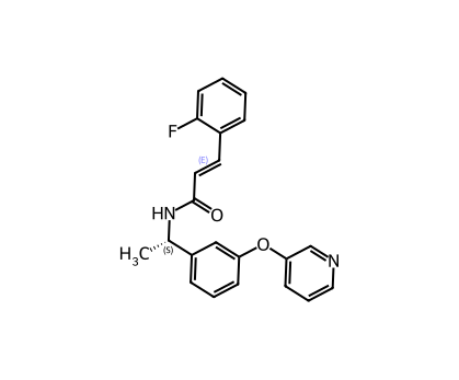 C[C@H](NC(=O)/C=C/c1ccccc1F)c1cccc(Oc2cccnc2)c1